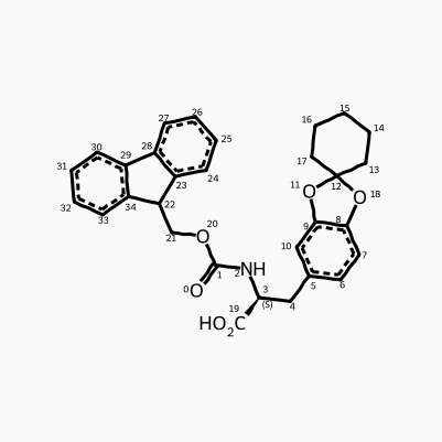 O=C(N[C@@H](Cc1ccc2c(c1)OC1(CCCCC1)O2)C(=O)O)OCC1c2ccccc2-c2ccccc21